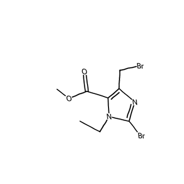 CCn1c(Br)nc(CBr)c1C(=O)OC